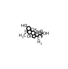 CC[C@H]1[C@@H](O)C2C3CCC([C@H](C)C[C@@H](F)C(=O)O)[C@@]3(C)[C@@H](O)CC2[C@@]2(C)CC[C@@H](O)C[C@@H]12